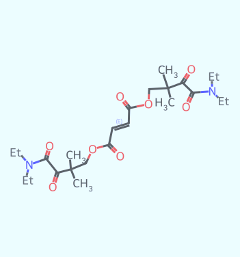 CCN(CC)C(=O)C(=O)C(C)(C)COC(=O)/C=C/C(=O)OCC(C)(C)C(=O)C(=O)N(CC)CC